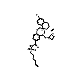 C=CCCCCS(=O)(=O)NC(=O)c1ccc2c(c1)N(C[C@@H]1CC[C@H]1C=C)C[C@@]1(CCCc3cc(Cl)ccc31)CO2